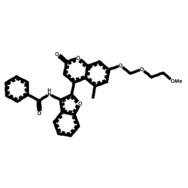 COCCOCOc1cc(C)c2c(-c3oc4ccccc4c3NC(=O)c3ccccc3)cc(=O)oc2c1